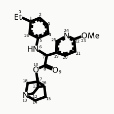 CCc1cccc(NC(C(=O)OC2CN3CCC2CC3)c2ccc(OC)nc2)c1